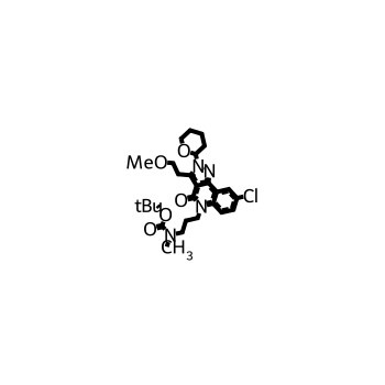 COCCc1c2c(=O)n(CCCN(C)C(=O)OC(C)(C)C)c3ccc(Cl)cc3c2nn1C1CCCCO1